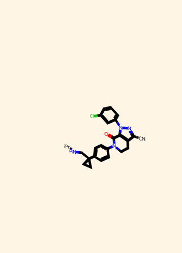 CC(C)NCC1(c2ccc(N3CCc4c(C#N)nn(-c5cccc(Cl)c5)c4C3=O)cc2)CC1